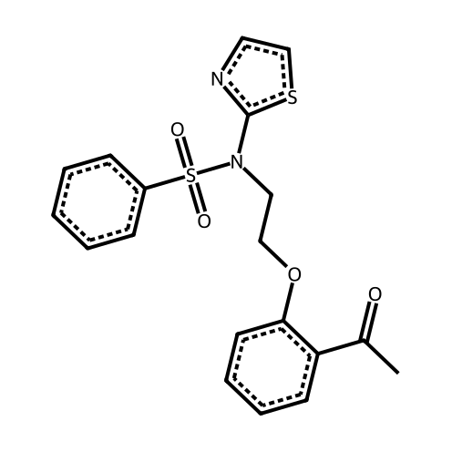 CC(=O)c1ccccc1OCCN(c1nccs1)S(=O)(=O)c1ccccc1